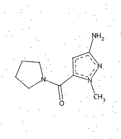 Cn1nc(N)cc1C(=O)N1CCCC1